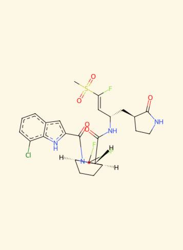 CS(=O)(=O)/C(F)=C/[C@H](C[C@@H]1CCNC1=O)NC(=O)[C@@H]1[C@H]2CC[C@H](CC2(F)F)N1C(=O)c1cc2cccc(Cl)c2[nH]1